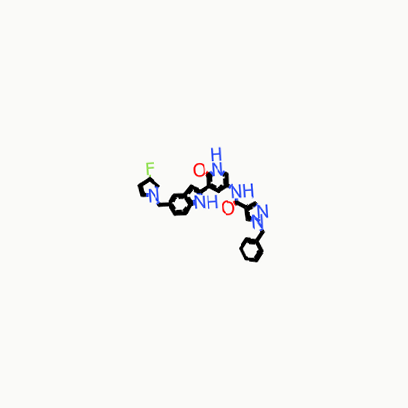 O=C(Nc1c[nH]c(=O)c(-c2cc3cc(CN4CC[C@H](F)C4)ccc3[nH]2)c1)c1cnn(CC2=CCCC=C2)c1